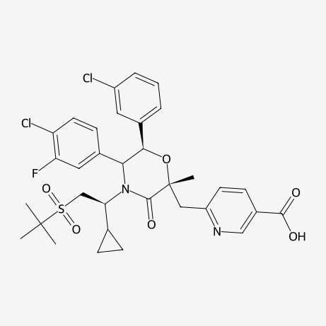 CC(C)(C)S(=O)(=O)C[C@H](C1CC1)N1C(=O)[C@@](C)(Cc2ccc(C(=O)O)cn2)O[C@H](c2cccc(Cl)c2)C1c1ccc(Cl)c(F)c1